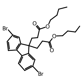 CCCCOC(=O)CCC1(CCC(=O)OCCCC)c2cc(Br)ccc2-c2ccc(Br)cc21